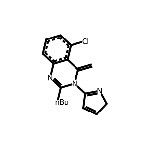 C=C1c2c(Cl)cccc2N=C(CCCC)N1C1=NCC=C1